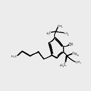 CCCCCc1cc(C(C)(C)C)c(O)c(C(C)(C)C)c1